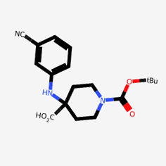 CC(C)(C)OC(=O)N1CCC(Nc2cccc(C#N)c2)(C(=O)O)CC1